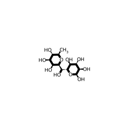 C[C@H]1O[C@@H](C(O)[C@H]2O[C@H](O)[C@H](O)[C@@H](O)[C@@H]2O)[C@@H](O)[C@@H](O)[C@@H]1O